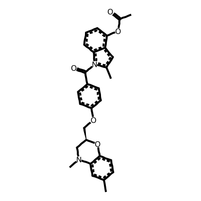 CC(=O)Oc1cccc2c1cc(C)n2C(=O)c1ccc(OC[C@@H]2CN(C)c3cc(C)ccc3O2)cc1